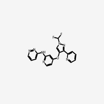 FC(F)n1cc(Oc2ccnc(Nc3cccnn3)c2)c(-c2ccccn2)n1